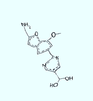 COc1cc(-c2ncc(C(O)O)cn2)cc2cc(CN)oc12